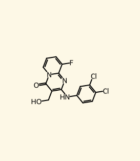 O=c1c(CO)c(Nc2ccc(Cl)c(Cl)c2)nc2c(F)cccn12